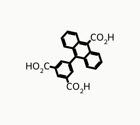 O=C(O)c1cc(C(=O)O)cc(-c2c3ccccc3c(C(=O)O)c3ccccc23)c1